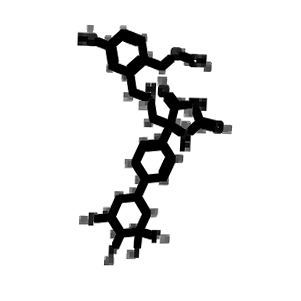 COCc1ccc(O)cc1CNCC1(C2=CCC(C3CC(F)C(F)C(F)(I)C3)C=C2)NC(=O)NC1=O